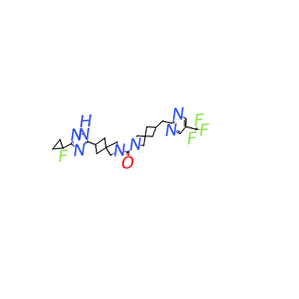 O=C(N1CC2(CC(Cc3ncc(C(F)(F)F)cn3)C2)C1)N1CC2(CC(c3nc(C4(F)CC4)n[nH]3)C2)C1